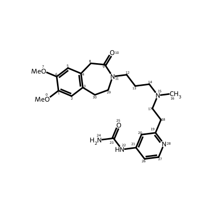 COc1cc2c(cc1OC)CC(=O)N(CCCN(C)CCc1cc(NC(N)=O)ccn1)CC2